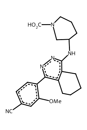 COc1cc(C#N)ccc1-c1nnc(NC2CCCN(C(=O)O)C2)c2c1CCCC2